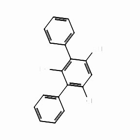 Cc1[c]c(C)c(-c2ccccc2)c(C)c1-c1ccccc1